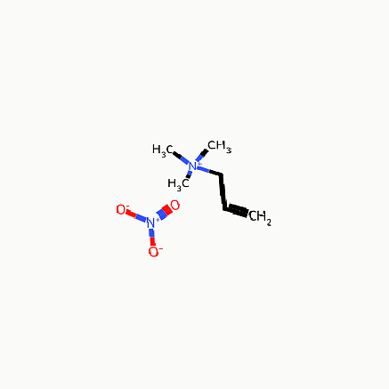 C=CC[N+](C)(C)C.O=[N+]([O-])[O-]